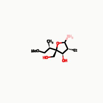 B[C@@H]1O[C@@](CO)([C@@H](C)COC)[C@@H](O)[C@H]1CC